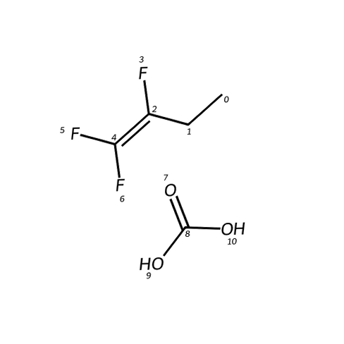 CCC(F)=C(F)F.O=C(O)O